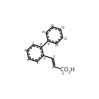 O=C(O)C=Cc1ccccc1-c1[c]cccc1